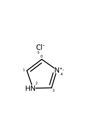 C1=CNC=[N+]1.[Cl-]